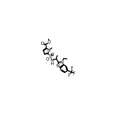 CCn1c(C(C)NS(=O)(=O)c2ccc(C(=O)OC)n2C)nc2ccc(C(F)(F)F)cc21